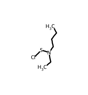 CCCCN(CC)SCl